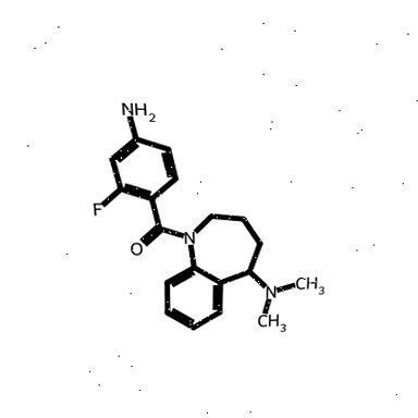 CN(C)C1CCCN(C(=O)c2ccc(N)cc2F)c2ccccc21